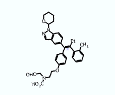 CC/C(=C(/c1ccc(OCCN(CC=O)C(=O)O)cc1)c1ccc2c(cnn2C2CCCCO2)c1)c1ccccc1C